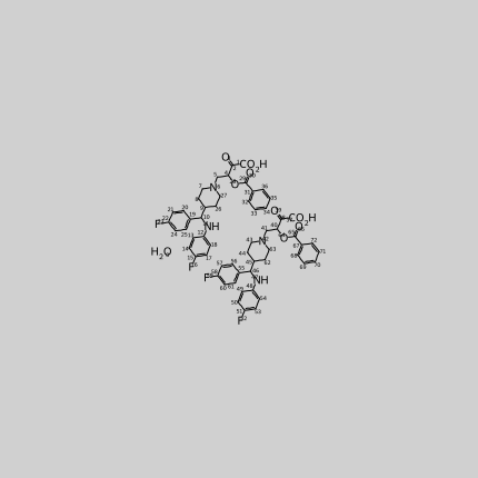 O.O=C(O)C(=O)C(CN1CCC(C(Nc2ccc(F)cc2)c2ccc(F)cc2)CC1)OC(=O)c1ccccc1.O=C(O)C(=O)C(CN1CCC(C(Nc2ccc(F)cc2)c2ccc(F)cc2)CC1)OC(=O)c1ccccc1